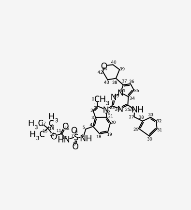 Cc1cc2c(CNS(=O)(=O)NC(=O)OC(C)(C)C)cccc2n1-c1nc(NCc2ccccc2)c2ccc(C3CCOCC3)n2n1